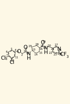 O=C(COc1ccc(Cl)c(Cl)c1)N[C@H]1CC[C@H](C(=O)NCc2ccc(C(F)(F)F)nc2)CC1